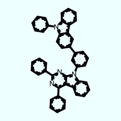 c1ccc(-c2nc(-c3ccccc3)c3c4ccccc4n(-c4cccc(-c5ccc6c(c5)c5ccccc5n6-c5ccccc5)c4)c3n2)cc1